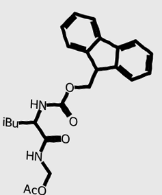 CCC(C)C(NC(=O)OCC1c2ccccc2-c2ccccc21)C(=O)NCOC(C)=O